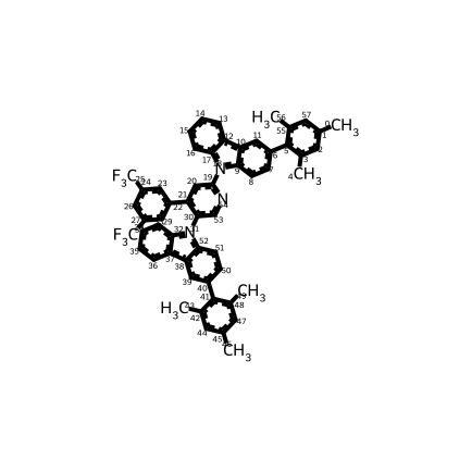 Cc1cc(C)c(-c2ccc3c(c2)c2ccccc2n3-c2cc(-c3cc(C(F)(F)F)cc(C(F)(F)F)c3)c(-n3c4ccccc4c4cc(-c5c(C)cc(C)cc5C)ccc43)cn2)c(C)c1